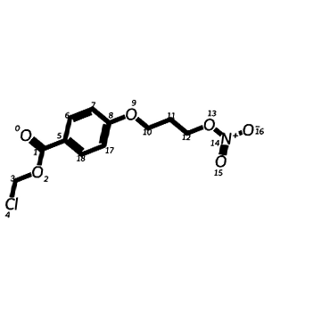 O=C(OCCl)c1ccc(OCCCO[N+](=O)[O-])cc1